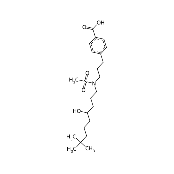 CC(C)(C)CCCC(O)CCCN(CCCc1ccc(C(=O)O)cc1)S(C)(=O)=O